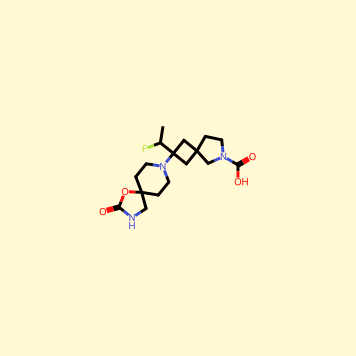 CC(F)C1(N2CCC3(CC2)CNC(=O)O3)CC2(CCN(C(=O)O)C2)C1